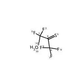 FC(F)(F)C(=S)C(F)(F)F.O